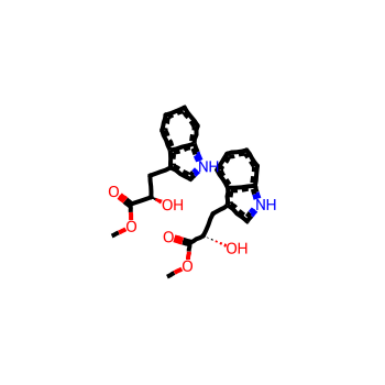 COC(=O)[C@@H](O)Cc1c[nH]c2ccccc12.COC(=O)[C@H](O)Cc1c[nH]c2ccccc12